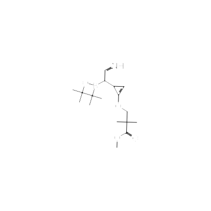 COC(=O)C(C)(C)COC1=CC1C(C=N)B1OC(C)(C)C1(C)C